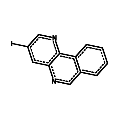 Ic1cnc2c(c1)ncc1ccccc12